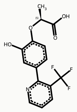 C[C@H](Oc1ccc(-c2ncccc2C(F)(F)F)cc1O)C(=O)O